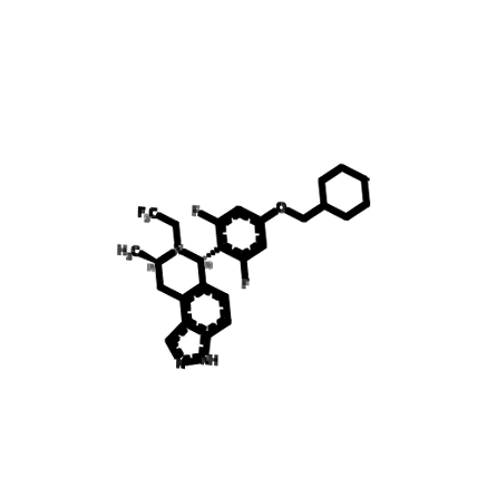 C[C@@H]1Cc2c(ccc3[nH]ncc23)[C@@H](c2c(F)cc(OCC3CC[CH]CC3)cc2F)N1CC(F)(F)F